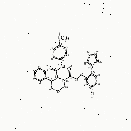 O=C(O)c1ccc(NC(=O)C2C(c3ccccc3)CCCN2C(=O)CCc2cc(Cl)ccc2-n2cnnn2)cc1